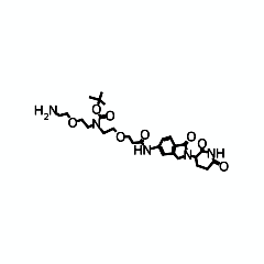 CC(C)(C)OC(=O)N(CCOCCN)CCOCCC(=O)Nc1ccc2c(c1)CN(C1CCC(=O)NC1=O)C2=O